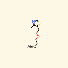 COCCOCCc1scnc1C